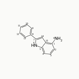 Nc1cccc2[nH]c(-c3ccccc3)cc12